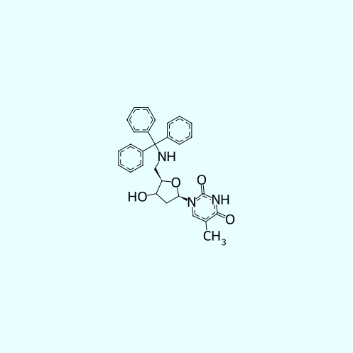 Cc1cn([C@H]2CC(O)[C@@H](CNC(c3ccccc3)(c3ccccc3)c3ccccc3)O2)c(=O)[nH]c1=O